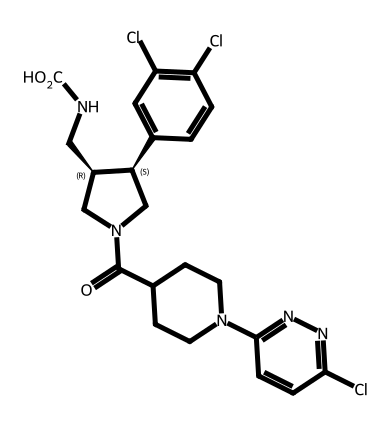 O=C(O)NC[C@@H]1CN(C(=O)C2CCN(c3ccc(Cl)nn3)CC2)C[C@@H]1c1ccc(Cl)c(Cl)c1